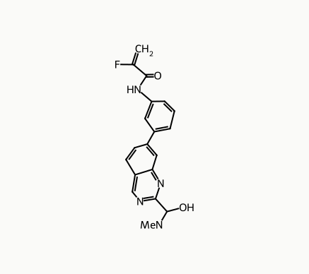 C=C(F)C(=O)Nc1cccc(-c2ccc3cnc(C(O)NC)nc3c2)c1